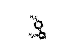 CN1CCN(c2cncn2C)CC1